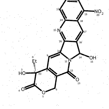 CC[C@@]1(O)C(=O)OCc2c1cc1n(c2=O)C(O)c2cc3c([N+](=O)[O-])cccc3nc2-1